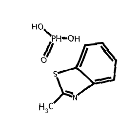 Cc1nc2ccccc2s1.O=[PH](O)O